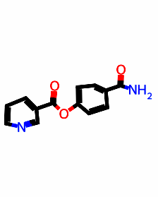 NC(=O)c1ccc(OC(=O)c2cccnc2)cc1